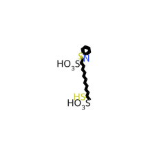 O=S(=O)(O)CC(S)CCCCCCCCCC(c1nc2ccccc2s1)S(=O)(=O)O